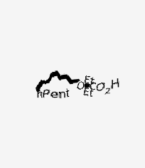 CCCCC/C=C\C/C=C\CCCCOC(CC)(CC)C(=O)O